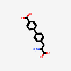 NC(Cc1ccc(-c2ccc(C(=O)O)cc2)cc1)C(=O)O